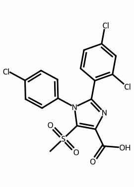 CS(=O)(=O)c1c(C(=O)O)nc(-c2ccc(Cl)cc2Cl)n1-c1ccc(Cl)cc1